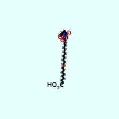 O=C(O)CCCCCCCCCCCCCCCCCCCCCC(=O)ON1C(=O)CCC1=O